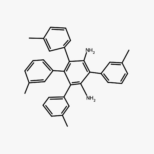 Cc1cccc(-c2c(N)c(-c3cccc(C)c3)c(-c3cccc(C)c3)c(-c3cccc(C)c3)c2N)c1